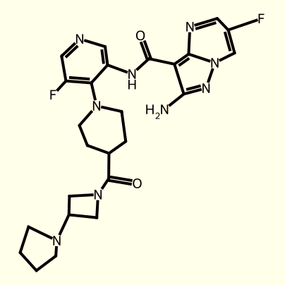 Nc1nn2cc(F)cnc2c1C(=O)Nc1cncc(F)c1N1CCC(C(=O)N2CC(N3CCCC3)C2)CC1